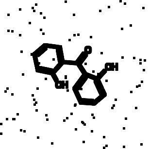 O=C(c1cc[c]cc1O)c1ccccc1O